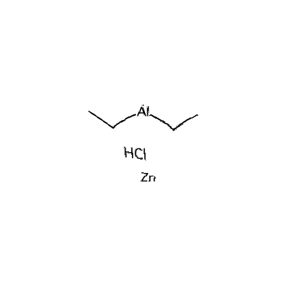 C[CH2][Al][CH2]C.Cl.[Zn]